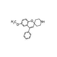 COc1ccc2c(c1)C(c1ccccc1)=CC1(CCNCC1)O2